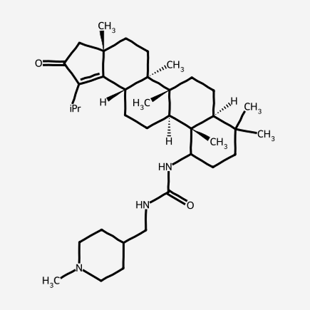 CC(C)C1=C2[C@H]3CC[C@@H]4[C@@]5(C)C(NC(=O)NCC6CCN(C)CC6)CCC(C)(C)[C@@H]5CC[C@@]4(C)[C@]3(C)CC[C@@]2(C)CC1=O